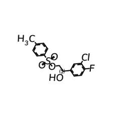 Cc1ccc(S(=O)(=O)OC[C@@H](O)c2ccc(F)c(Cl)c2)cc1